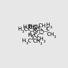 CC(C)C1=C[C]([Sr][C]2(C(C)C)C=C(C(C)C)C=C2C(C)C)(C(C)C)C(C(C)C)=C1